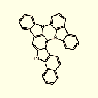 c1ccc2c(c1)ccc1c2[nH]c2cc3c4ccccc4n4c5cccc6c7ccccc7n(c65)c(c21)c34